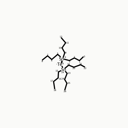 CCC[CH2][Sn]([CH2]CCC)([CH2]CCC)[Te+][Sn]([CH2]CCC)([CH2]CCC)[CH2]CCC